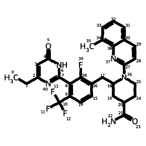 CCc1cc(=O)[nH]c(-c2c(C(F)(F)F)ccc(CC3CC(C(N)=O)CCN3c3ccc4cccc(C)c4n3)c2F)n1